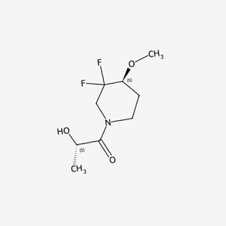 CO[C@H]1CCN(C(=O)[C@H](C)O)CC1(F)F